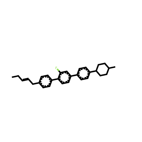 CCC=CCc1ccc(-c2ccc(-c3ccc(C4CCC(C)CC4)cc3)cc2F)cc1